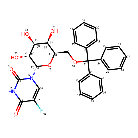 O=c1[nH]c(=O)n([C@H]2O[C@H](COC(c3ccccc3)(c3ccccc3)c3ccccc3)[C@H](O)[C@H](O)[C@H]2O)cc1F